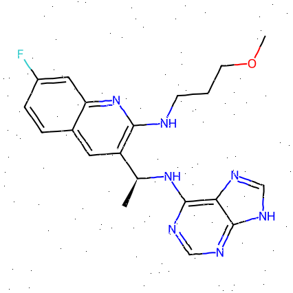 COCCCNc1nc2cc(F)ccc2cc1[C@H](C)Nc1ncnc2[nH]cnc12